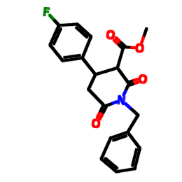 COC(=O)C1C(=O)N(Cc2ccccc2)C(=O)CC1c1ccc(F)cc1